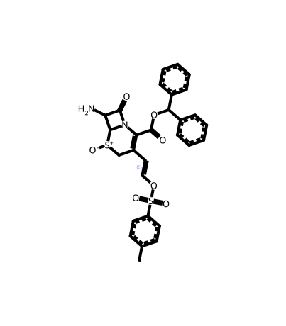 Cc1ccc(S(=O)(=O)O/C=C/C2=C(C(=O)OC(c3ccccc3)c3ccccc3)N3C(=O)C(N)C3[S+]([O-])C2)cc1